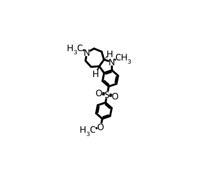 COc1ccc(S(=O)(=O)c2ccc3c(c2)[C@@H]2CCN(C)CC[C@H]2N3C)cc1